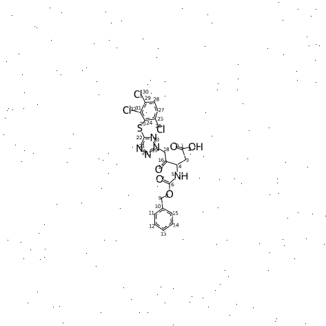 O=C(O)CC(NC(=O)OCc1ccccc1)C(=O)Cn1nnc(Sc2c(Cl)ccc(Cl)c2Cl)n1